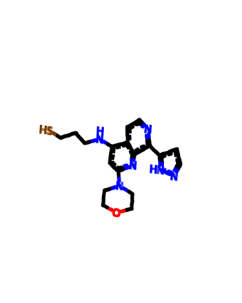 SCCCNc1cc(N2CCOCC2)nc2c(-c3ccn[nH]3)nccc12